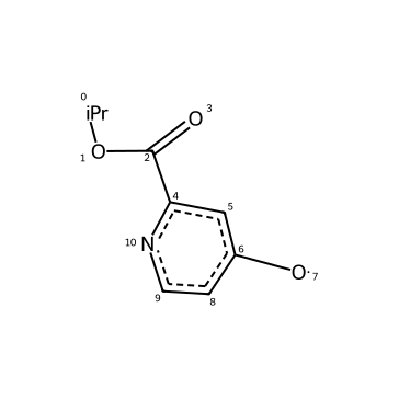 CC(C)OC(=O)c1cc([O])ccn1